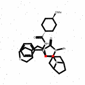 CO[C@H]1CC[C@H](C(=O)N[C@@H](CCN2C3CCC2CC2(C3)CN(CC3CCOCC3)C(=O)N2C(C)C)c2ccccc2)CC1